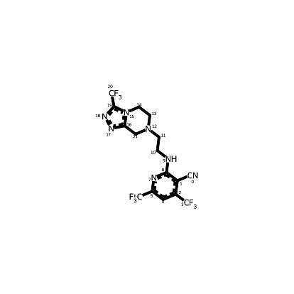 N#Cc1c(C(F)(F)F)cc(C(F)(F)F)nc1NCCN1CCn2c(nnc2C(F)(F)F)C1